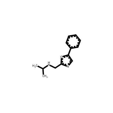 CC(C)NCc1ncc(-c2ccccc2)o1